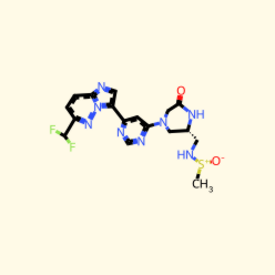 C[S+]([O-])NC[C@@H]1CN(c2cc(-c3cnc4ccc(C(F)F)nn34)ncn2)CC(=O)N1